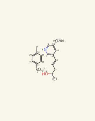 CCC(O)CC=Cc1cncc(OC)c1.Cc1ccc(S(=O)(=O)O)cc1